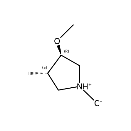 [CH2-][NH+]1C[C@H](OC)[C@@H](C)C1